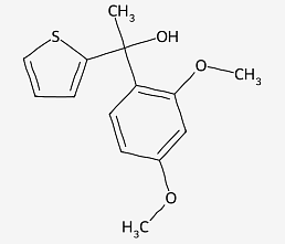 COc1ccc(C(C)(O)c2cccs2)c(OC)c1